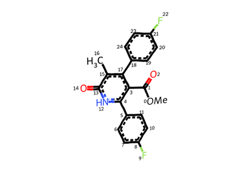 COC(=O)c1c(-c2ccc(F)cc2)[nH]c(=O)c(C)c1-c1ccc(F)cc1